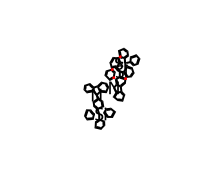 c1ccc([Si](c2ccccc2)(c2ccccc2)c2ccc(-n3c4ccccc4c4ccc(-n5c6ccccc6c6ccc([Si]7(c8ccccc8)c8ccccc8[Si](c8ccccc8)(c8ccccc8)c8ccccc87)cc65)cc43)cc2)cc1